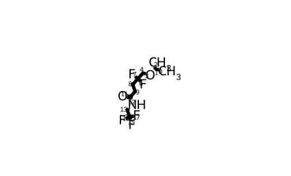 CC(C)OCC(F)(F)CCC(=O)NCC(F)(F)F